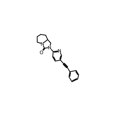 O=C1N(c2ccc(C#Cc3ccccc3)cn2)CC2CCCCN12